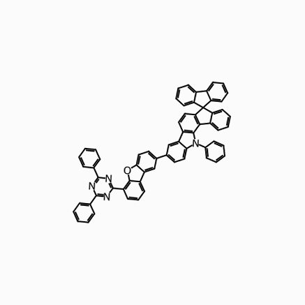 c1ccc(-c2nc(-c3ccccc3)nc(-c3cccc4c3oc3ccc(-c5ccc6c(c5)c5ccc7c(c5n6-c5ccccc5)-c5ccccc5C75c6ccccc6-c6ccccc65)cc34)n2)cc1